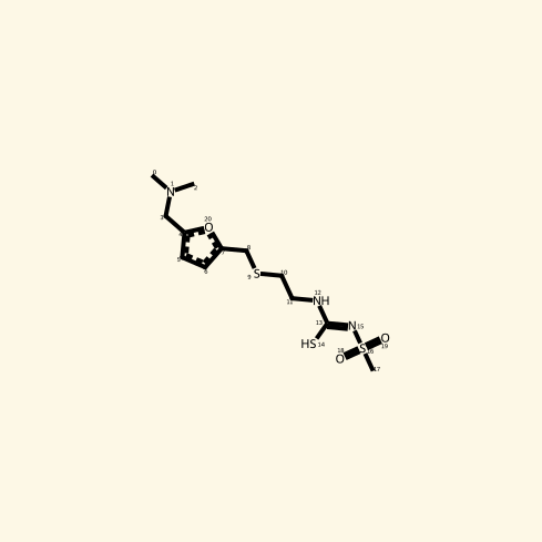 CN(C)Cc1ccc(CSCCN/C(S)=N/S(C)(=O)=O)o1